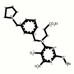 CCCCOc1nc(N)c([N+](=O)[O-])c(N(CCC(=O)OCC)Cc2cccc(CN3CCCC3)c2)n1